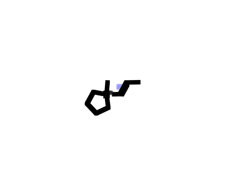 C/C=C/[N+]1(C)CCCC1